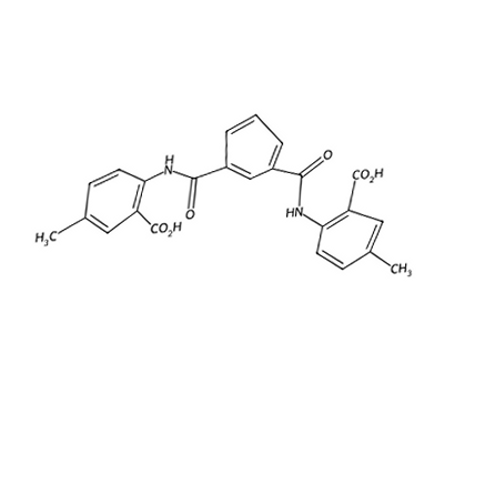 Cc1ccc(NC(=O)c2cccc(C(=O)Nc3ccc(C)cc3C(=O)O)c2)c(C(=O)O)c1